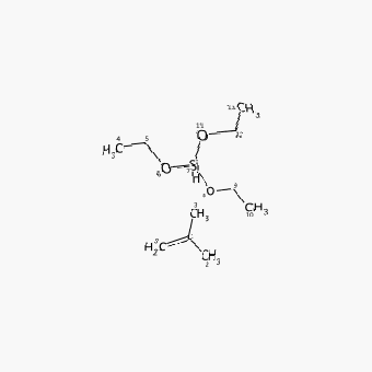 C=C(C)C.CCO[SiH](OCC)OCC